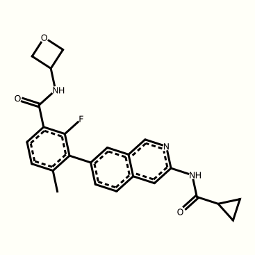 Cc1ccc(C(=O)NC2COC2)c(F)c1-c1ccc2cc(NC(=O)C3CC3)ncc2c1